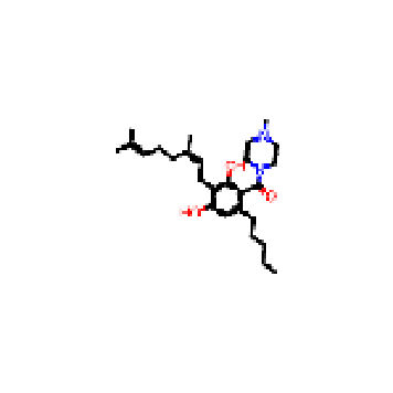 CCCCCc1cc(O)c(CC=C(C)CCC=C(C)C)c(O)c1C(=O)N1CCN(C)CC1